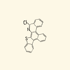 Clc1nc2c3sc4ccccc4c3c3ccccc3c2c2ccccc12